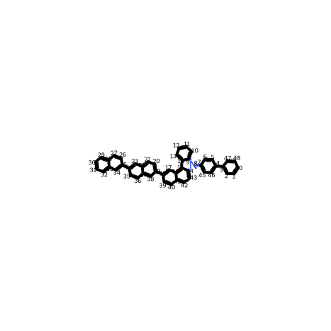 c1ccc(-c2ccc(-n3c4ccccc4c4c5cc(-c6ccc7cc(-c8ccc9ccccc9c8)ccc7c6)ccc5ccc43)cc2)cc1